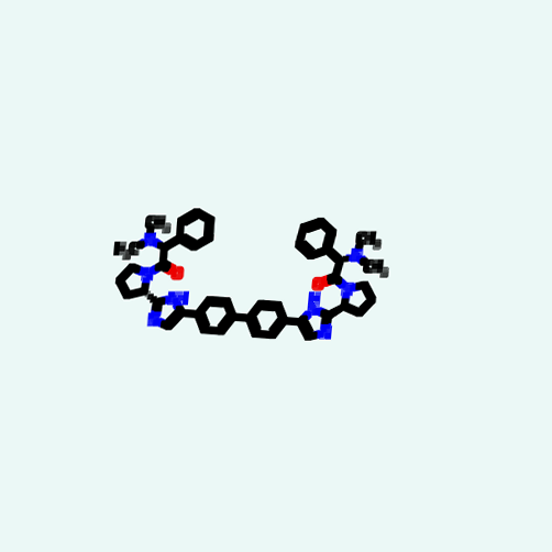 CN(C)[C@H](C(=O)N1CCC[C@H]1c1ncc(-c2ccc(-c3ccc(-c4cnc([C@@H]5CCCN5C(=O)[C@H](c5ccccc5)N(C)C)[nH]4)cc3)cc2)[nH]1)c1ccccc1